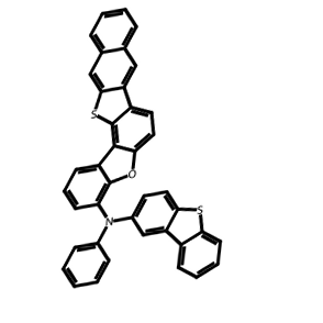 c1ccc(N(c2ccc3sc4ccccc4c3c2)c2cccc3c2oc2ccc4c5cc6ccccc6cc5sc4c23)cc1